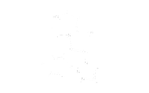 C[C@H]1CCNCCN1C(=O)c1ccccc1-n1nccn1